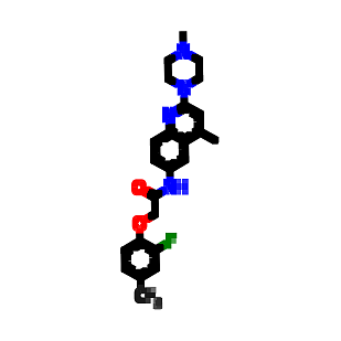 Cc1cc(N2CCN(C)CC2)nc2ccc(NC(=O)COc3ccc(C(F)(F)F)cc3F)cc12